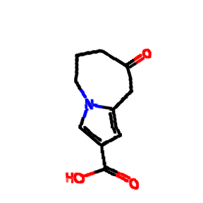 O=C1CCCn2cc(C(=O)O)cc2C1